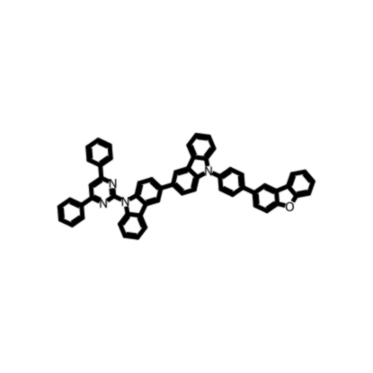 c1ccc(-c2cc(-c3ccccc3)nc(-n3c4ccccc4c4cc(-c5ccc6c(c5)c5ccccc5n6-c5ccc(-c6ccc7oc8ccccc8c7c6)cc5)ccc43)n2)cc1